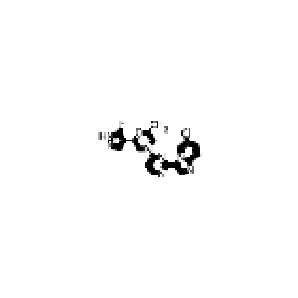 C[C@@H]1CN(c2ccnc(-c3cnc4ccc(Cl)cn34)n2)C[C@@H](c2cn[nH]c2F)O1